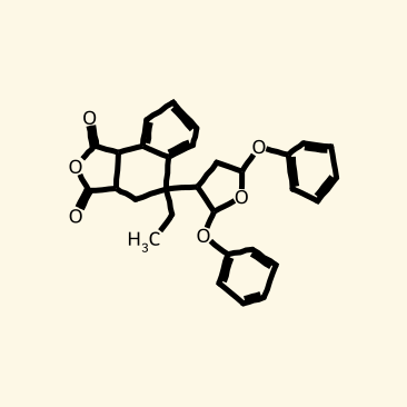 CCC1(C2CC(Oc3ccccc3)OC2Oc2ccccc2)CC2C(=O)OC(=O)C2c2ccccc21